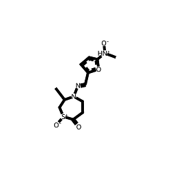 CC1C[S+]([O-])C(=O)CCN1/N=C/c1ccc([NH+](C)[O-])o1